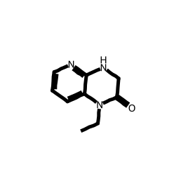 CCN1C(=O)CNc2ncccc21